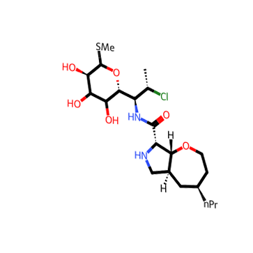 CCC[C@@H]1CCO[C@@H]2[C@H](CN[C@@H]2C(=O)N[C@H]([C@H](C)Cl)[C@H]2OC(SC)[C@H](O)C(O)C2O)C1